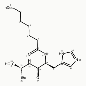 CCCCCCCCCCCCCCCC(=O)N[C@@H](Cc1cnc[nH]1)C(=O)N[C@H](C(=O)O)[C@@H](C)CC